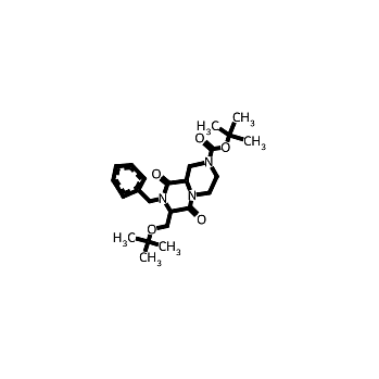 CC(C)(C)OCC1C(=O)N2CCN(C(=O)OC(C)(C)C)CC2C(=O)N1Cc1ccccc1